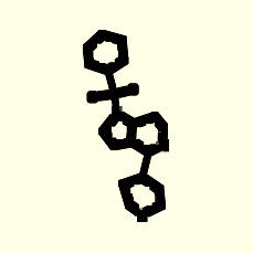 O=S(=O)(c1ccccc1)n1ccc2c(-c3ccncc3)nccc21